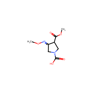 CON=C1CN(C(=O)O)CC1C(=O)OC